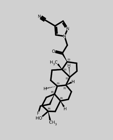 C[C@@]1(O)CC[C@@]2(CCF)[C@H](CC[C@H]3[C@@H]4CC[C@H](C(=O)Cn5cc(C#N)cn5)[C@@]4(C)CC[C@@H]32)C1